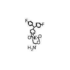 NC[C@@H]1CCN(C(=O)N2CCC(C(c3ccc(F)cc3)c3ccc(F)cc3)CC2)CC(=O)CO1